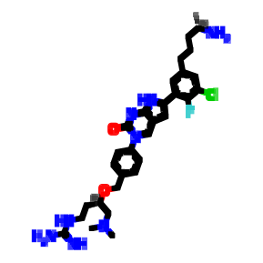 C[C@H](N)CCCc1cc(Cl)c(F)c(-c2cc3cn(-c4ccc(CO[C@H](CCNC(=N)N)CN(C)C)cc4)c(=O)nc3[nH]2)c1